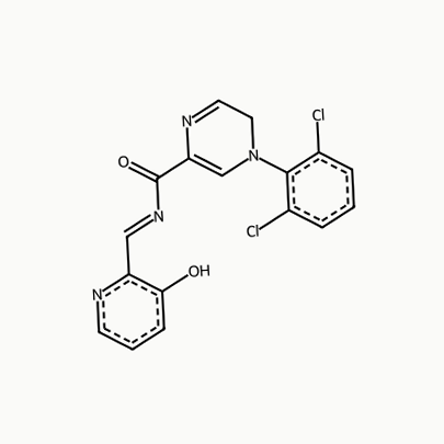 O=C(N=Cc1ncccc1O)C1=CN(c2c(Cl)cccc2Cl)CC=N1